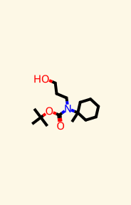 CC(C)(C)OC(=O)N(CCCO)C1(C)CCCCC1